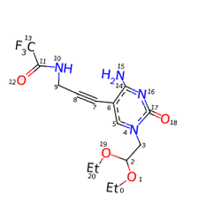 CCOC(Cn1cc(C#CCNC(=O)C(F)(F)F)c(N)nc1=O)OCC